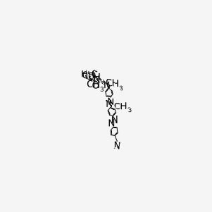 CCC(C)(C)C(=O)N(C)CCN(C)c1ccc(/N=N/c2ccc(/N=N/c3ccc(C#N)cc3)cc2C)cc1